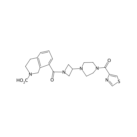 O=C(O)N1CCc2cccc(C(=O)N3CC(N4CCN(C(=O)c5cscn5)CC4)C3)c2C1